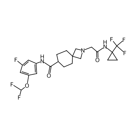 O=C(CN1CC2(CCC(C(=O)Nc3cc(F)cc(OC(F)F)c3)CC2)C1)NC1(C(F)(F)F)CC1